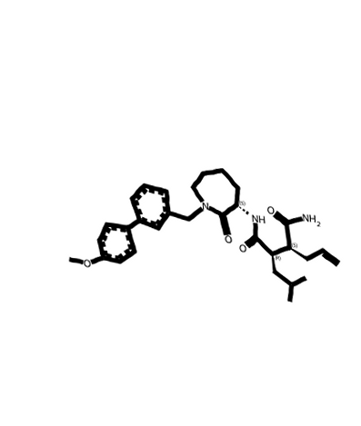 C=CC[C@H](C(N)=O)[C@@H](CC(C)C)C(=O)N[C@H]1CCCCN(Cc2cccc(-c3ccc(OC)cc3)c2)C1=O